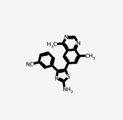 Cc1ncnc2c(C)cc(-c3sc(N)nc3-c3cccc(C#N)c3)cc12